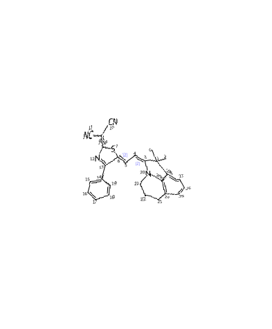 CC1(C)/C(=C/C=c2\sc(=C(C#N)C#N)nc2-c2ccccc2)N2CCCc3cccc1c32